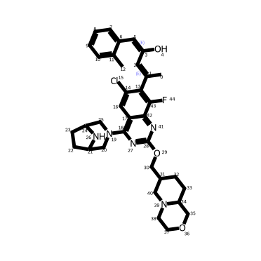 C/C(=C\C(O)=C/c1ccccc1C)c1c(Cl)cc2c(N3CC4CCC(C3)N4)nc(OCC3CCC4COCCN4C3)nc2c1F